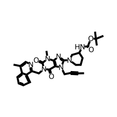 CC#CCn1c(N2CCCC(NC(=O)OC(C)(C)C)C2)nc2c1c(=O)n(Cc1ncc(C)c3ccccc13)c(=O)n2C